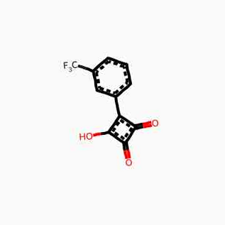 O=c1c(O)c(-c2cccc(C(F)(F)F)c2)c1=O